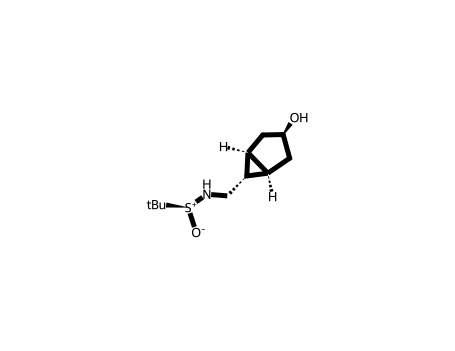 CC(C)(C)[S@+]([O-])NC[C@@H]1[C@H]2C[C@@H](O)C[C@@H]12